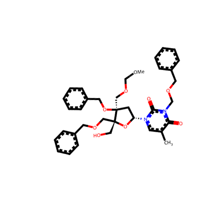 COCOC[C@]1(OCc2ccccc2)C[C@H](n2cc(C)c(=O)n(COCc3ccccc3)c2=O)O[C@]1(CO)COCc1ccccc1